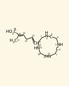 C1CNCCNCCNCCN1.C=CCC=C(C)C(=O)O